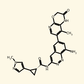 Cc1c(-c2cc(N)c3nnc(NC(=O)[C@@H]4CC4c4cnn(C)c4)cc3c2)cnc2c1NC(=O)CO2